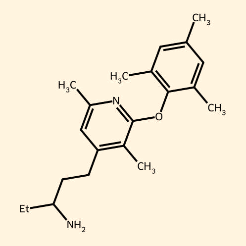 CCC(N)CCc1cc(C)nc(Oc2c(C)cc(C)cc2C)c1C